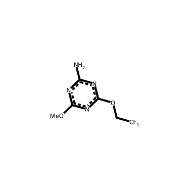 COc1nc(N)nc(OCC(F)(F)F)n1